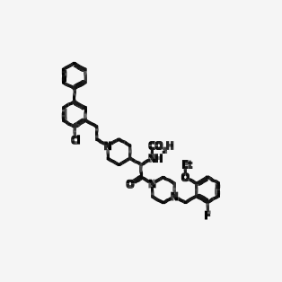 CCOc1cccc(F)c1CN1CCN(C(=O)C(NC(=O)O)C2CCN(CCc3cc(-c4ccccc4)ccc3Cl)CC2)CC1